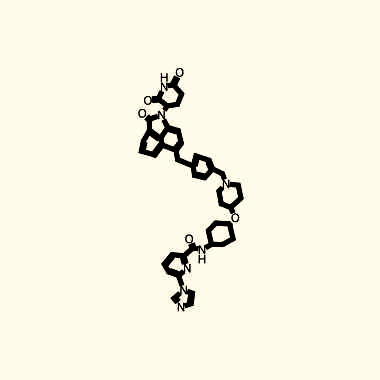 O=C1CCC(N2C(=O)c3cccc4c(Cc5ccc(CN6CCC(OC7CCC(NC(=O)c8cccc(-n9ccnc9)n8)CC7)CC6)cc5)ccc2c34)C(=O)N1